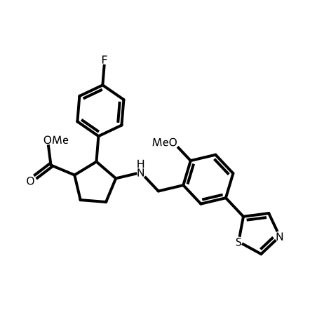 COC(=O)C1CCC(NCc2cc(-c3cncs3)ccc2OC)C1c1ccc(F)cc1